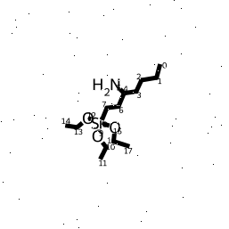 CCCCC(N)CC[Si](OCC)(OCC)OCC